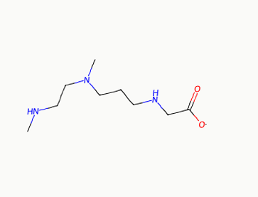 CNCCN(C)CCCNCC([O])=O